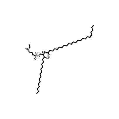 CCCC/C=C\CCCCCCCCCCCCCCCCCC(=O)NC(COP(=O)(O)OCCN(C)CC)C(O)CCCCCCCCCCCCCCC